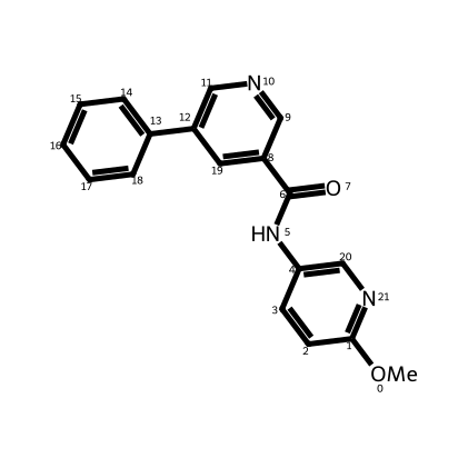 COc1ccc(NC(=O)c2cncc(-c3ccccc3)c2)cn1